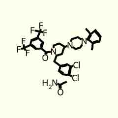 CC(N)=O.Cc1cccc(C)c1N1CCN(C2CCN(C(=O)c3cc(C(F)(F)F)cc(C(F)(F)F)c3)C(Cc3ccc(Cl)c(Cl)c3)C2)CC1